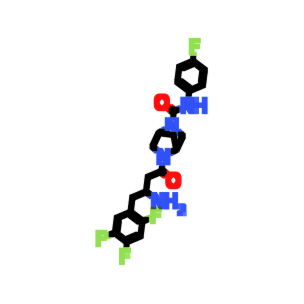 NC(CC(=O)N1CC2CC1CN2C(=O)Nc1ccc(F)cc1)Cc1cc(F)c(F)cc1F